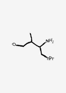 CCCCC(N)C(C)C[O]